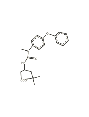 CN(C(=O)NC(CC(=O)[O-])C[N+](C)(C)C)c1ccc(Oc2ccccc2)cc1